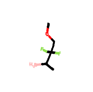 BC(C)C(F)(F)COC